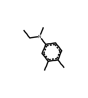 CCN(C)c1ccc(C)c(C)c1